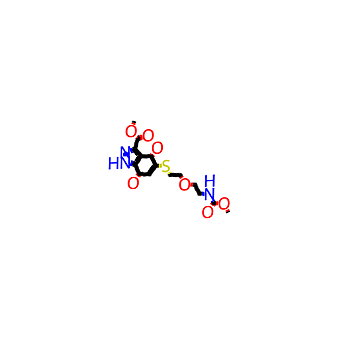 COC(=O)NCCOCCSC1=CC(=O)c2[nH]nc(C(=O)OC)c2C1=O